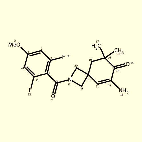 COc1cc(F)c(C(=O)N2CC3(C=C(N)C(=O)C(C)(C)C3)C2)c(F)c1